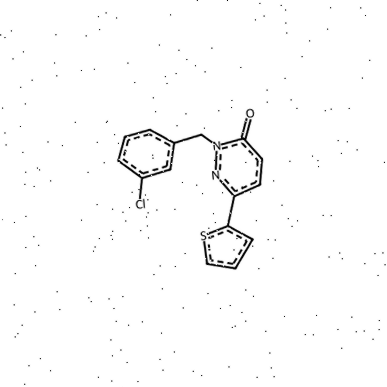 O=c1ccc(-c2cccs2)nn1Cc1cccc(Cl)c1